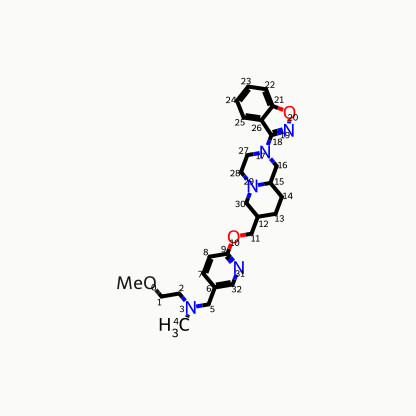 COCCN(C)Cc1ccc(OCC2CCC3CN(c4noc5ccccc45)CCN3C2)nc1